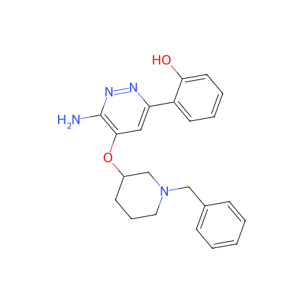 Nc1nnc(-c2ccccc2O)cc1OC1CCCN(Cc2ccccc2)C1